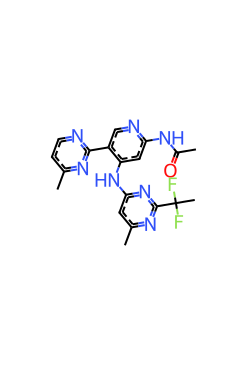 CC(=O)Nc1cc(Nc2cc(C)nc(C(C)(F)F)n2)c(-c2nccc(C)n2)cn1